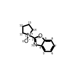 [O-][N+]1(c2nc3ccccc3o2)CCCC1